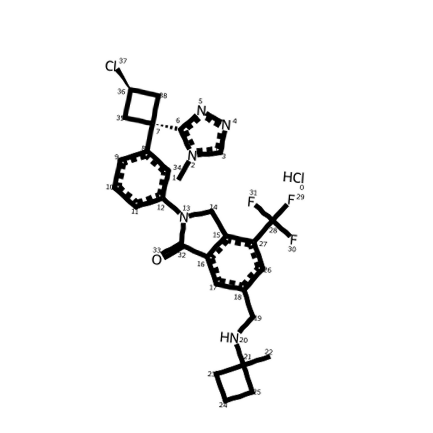 Cl.Cn1cnnc1[C@]1(c2cccc(N3Cc4c(cc(CNC5(C)CCC5)cc4C(F)(F)F)C3=O)c2)C[C@@H](Cl)C1